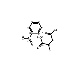 CC(CC(=O)O)C(=O)O.O=[N+]([O-])c1ccccc1